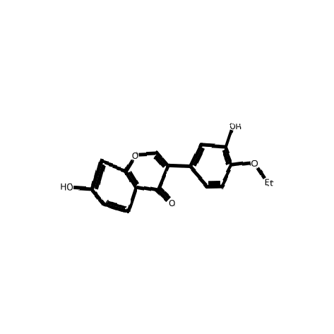 CCOc1ccc(-c2coc3cc(O)ccc3c2=O)cc1O